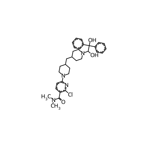 CN(C)C(=O)c1ccc(N2CCC(CC3CCN(C(O)C(O)(c4ccccc4)c4ccccc4)CC3)CC2)nc1Cl